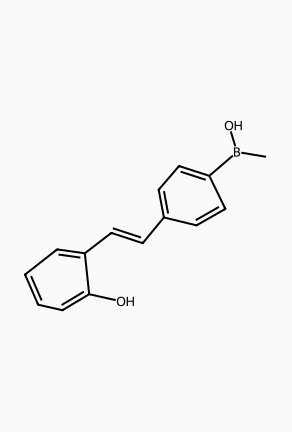 CB(O)c1ccc(/C=C/c2ccccc2O)cc1